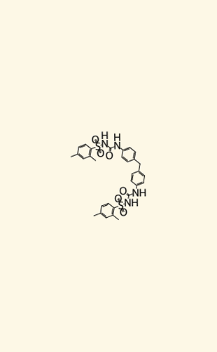 Cc1ccc(S(=O)(=O)NC(=O)Nc2ccc(Cc3ccc(NC(=O)NS(=O)(=O)c4ccc(C)cc4C)cc3)cc2)c(C)c1